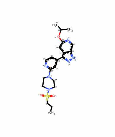 CCCS(=O)(=O)N1CCN(c2cc(-c3n[nH]c4cnc(OC(C)C)cc34)ccn2)CC1